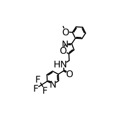 COc1ccccc1-c1cc(CNC(=O)c2ccc(C(F)(F)F)nc2)on1